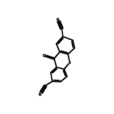 N#Cc1ccc2sc3ccc(C#N)cc3c(=O)c2c1